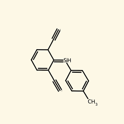 [C]#CC1=CC=CC(C#[C])C1=[SiH]c1ccc(C)cc1